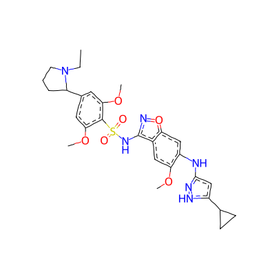 CCN1CCCC1c1cc(OC)c(S(=O)(=O)Nc2noc3cc(Nc4cc(C5CC5)[nH]n4)c(OC)cc23)c(OC)c1